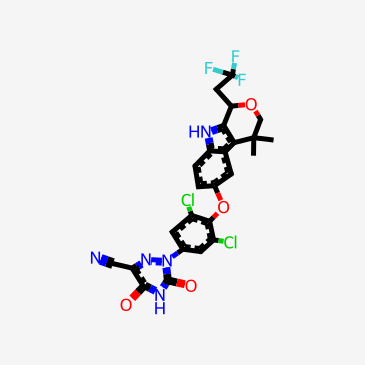 CC1(C)COC(CC(F)(F)F)c2[nH]c3ccc(Oc4c(Cl)cc(-n5nc(C#N)c(=O)[nH]c5=O)cc4Cl)cc3c21